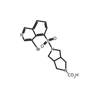 O=C(O)N1CC2CN(S(=O)(=O)c3cccc4cncc(Br)c34)CC2C1